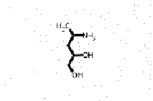 CC(N)CC(O)CO